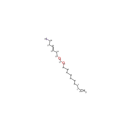 CCCCCCCCCCOCOCCC=CCCI